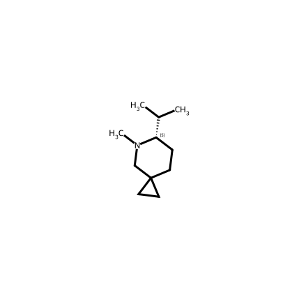 CC(C)[C@@H]1CCC2(CC2)CN1C